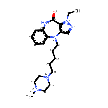 CCn1ncc2c1C(=O)Nc1ccccc1N2CCCCCN1CCN(C)CC1